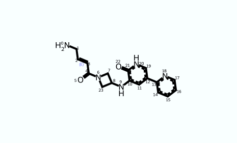 NC/C=C/C(=O)N1CC(Nc2cc(-c3ccccn3)c[nH]c2=O)C1